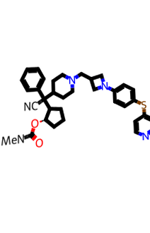 CNC(=O)O[C@H]1CCCC1C(C#N)(c1ccccc1)C1CCN(CC2CN(c3ccc(Sc4ccncc4)cc3)C2)CC1